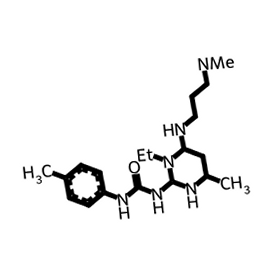 CCN1C(NCCCNC)CC(C)NC1NC(=O)Nc1ccc(C)cc1